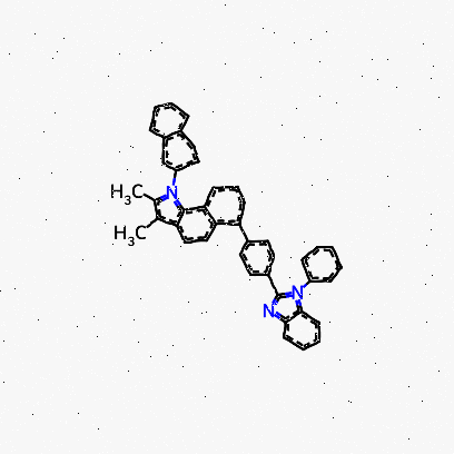 Cc1c(C)n(-c2ccc3ccccc3c2)c2c1ccc1c(-c3ccc(-c4nc5ccccc5n4-c4ccccc4)cc3)cccc12